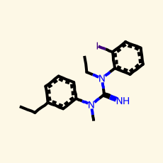 CCc1cccc(N(C)C(=N)N(CC)c2ccccc2I)c1